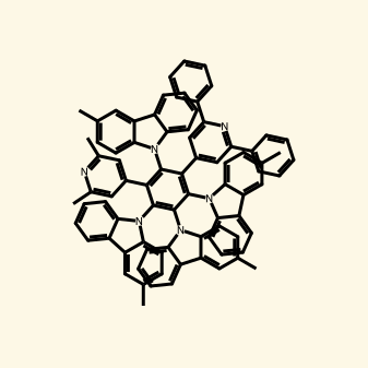 Cc1ccc2c(c1)c1ccccc1n2-c1c(-c2cc(C)nc(C)c2)c(-n2c3ccccc3c3cc(C)ccc32)c(-n2c3ccccc3c3cc(C)ccc32)c(-n2c3ccccc3c3cc(C)ccc32)c1-c1cc(-c2ccccc2)nc(-c2ccccc2)c1